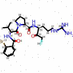 CC(C)[C@H](NC(=O)c1ccccc1Br)C(=O)N1CCC[C@H]1C(=O)N[C@@H](CCCNC(=N)N)C(=O)CF